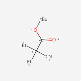 CCC(C#N)(CC)C(=O)OC(C)(C)C